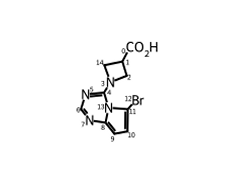 O=C(O)C1CN(c2ncnc3ccc(Br)n23)C1